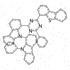 c1ccc(-c2nc(-c3cccc4c3sc3ccccc34)nc(-c3cccc4c5ccccc5n(-c5cccc6c7ccccc7n(-c7ccccc7)c56)c34)n2)cc1